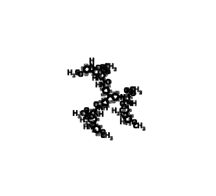 COc1ccc2[nH]c(C)c(CC(=O)N[C@@H](CCS(C)(=O)=O)C(=O)Nc3ccc(C(c4ccc(NC(=O)[C@H](CCS(C)(=O)=O)NC(=O)Cc5c(C)[nH]c6ccc(OC)cc56)cc4)c4ccc(NC(=O)[C@H](CCS(C)(=O)=O)NC(=O)Cc5c(C)[nH]c6ccc(OC)cc56)cc4)cc3)c2c1